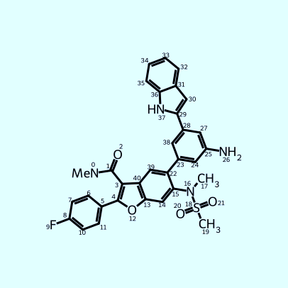 CNC(=O)c1c(-c2ccc(F)cc2)oc2cc(N(C)S(C)(=O)=O)c(-c3cc(N)cc(-c4cc5ccccc5[nH]4)c3)cc12